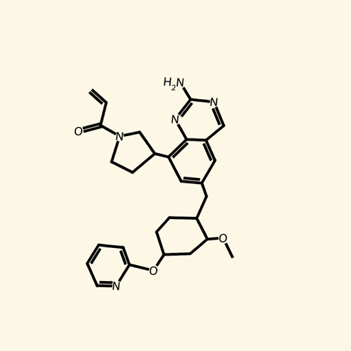 C=CC(=O)N1CCC(c2cc(CC3CCC(Oc4ccccn4)CC3OC)cc3cnc(N)nc23)C1